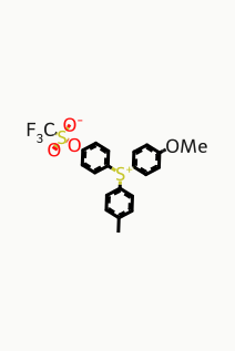 COc1ccc([S+](c2ccccc2)c2ccc(C)cc2)cc1.O=S(=O)([O-])C(F)(F)F